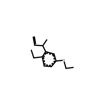 C=C[C](C)c1cc(OCC)ccc1CC